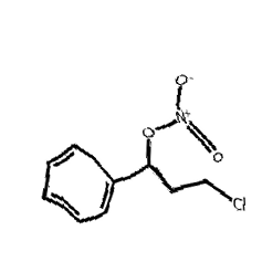 O=[N+]([O-])OC(CCCl)c1ccccc1